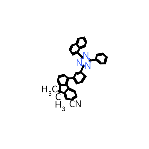 CC1(C)c2cc(C#N)ccc2-c2c(-c3cccc(-c4nc(-c5ccccc5)nc(-c5cccc6ccccc56)n4)c3)cccc21